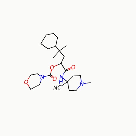 CN1CCC(C#N)(NC(=O)C(CC(C)(C)C2CCCCC2)OC(=O)N2CCOCC2)CC1